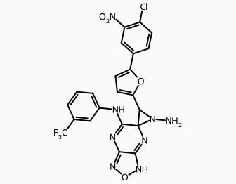 NN1C(c2ccc(-c3ccc(Cl)c([N+](=O)[O-])c3)o2)C12N=C1NON=C1N=C2Nc1cccc(C(F)(F)F)c1